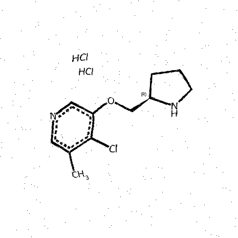 Cc1cncc(OC[C@H]2CCCN2)c1Cl.Cl.Cl